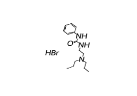 Br.CCCN(CCC)CCNC(=O)Nc1ccccc1